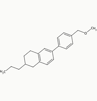 CCCC1CCc2cc(-c3ccc(COC)cc3)ccc2C1